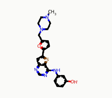 CN1CCN(Cc2ccc(-c3cc4ncnc(Nc5cccc(O)c5)c4s3)o2)CC1